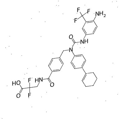 Nc1ccc(NC(=O)N(Cc2ccc(C(=O)NCC(F)(F)C(=O)O)cc2)c2ccc(C3=CCCCC3)cc2)cc1C(F)(F)F